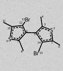 Cc1sc(C)c(-c2c(C)sc(C)c2Br)c1Br